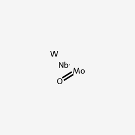 [Nb].[O]=[Mo].[W]